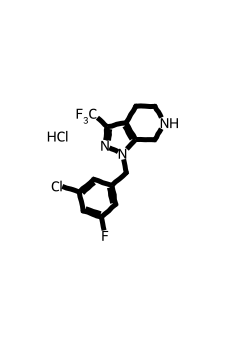 Cl.Fc1cc(Cl)cc(Cn2nc(C(F)(F)F)c3c2CNCC3)c1